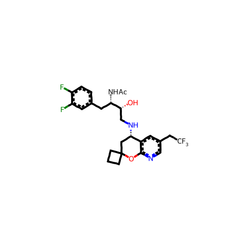 CC(=O)N[C@@H](Cc1ccc(F)c(F)c1)[C@H](O)CN[C@H]1CC2(CCC2)Oc2ncc(CC(F)(F)F)cc21